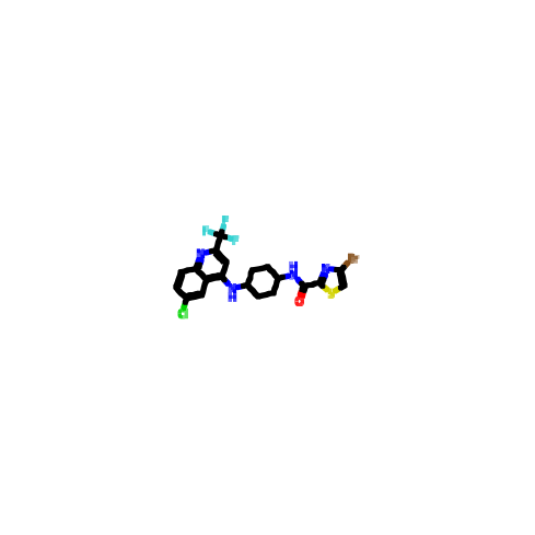 O=C(NC1CCC(Nc2cc(C(F)(F)F)nc3ccc(Cl)cc23)CC1)c1nc(Br)cs1